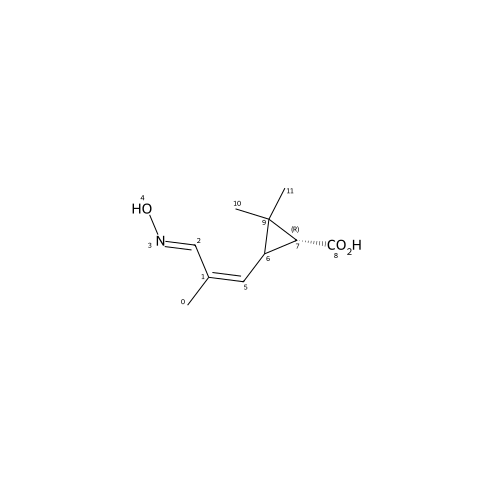 CC(C=NO)=CC1[C@@H](C(=O)O)C1(C)C